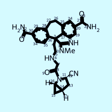 CNC(=N)C1(CCNCC(=O)N2[C@H](C#N)C[C@@H]3C[C@@H]32)c2ccc(C(N)=O)cc2CCc2cc(C(N)=O)ccc21